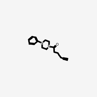 C#CCCCC(=O)N1CCN(c2ccccc2)CC1